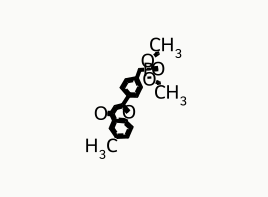 CCOP(=O)(Cc1ccc(-c2cc(=O)c3cc(C)ccc3o2)cc1)OCC